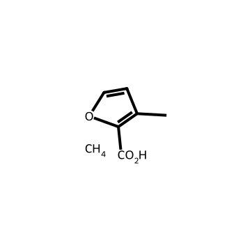 C.Cc1ccoc1C(=O)O